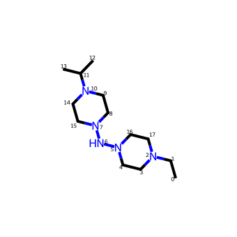 CCN1CCN(NN2CCN(C(C)C)CC2)CC1